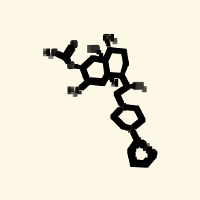 CC(=O)O[C@@H]1[C][C@@]2(O)[C@H](C)CC[C@@H]([C@H](C)CN3CCN(c4ccccn4)CC3)[C@H]2C=C1C